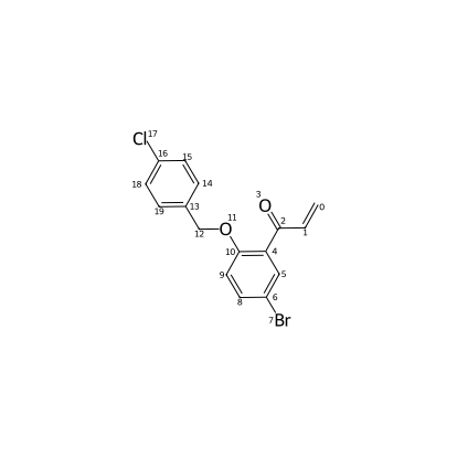 C=CC(=O)c1cc(Br)ccc1OCc1ccc(Cl)cc1